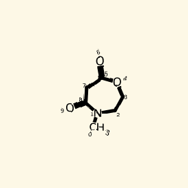 CN1CCOC(=O)CC1=O